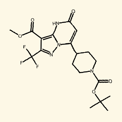 COC(=O)c1c(C(F)(F)F)nn2c(C3CCN(C(=O)OC(C)(C)C)CC3)cc(=O)[nH]c12